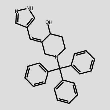 OC1CCN(C(c2ccccc2)(c2ccccc2)c2ccccc2)CC1=Cc1cn[nH]c1